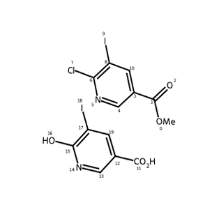 COC(=O)c1cnc(Cl)c(I)c1.O=C(O)c1cnc(O)c(I)c1